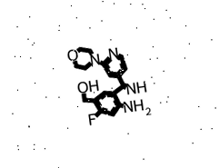 N=C(c1ccnc(N2CCOCC2)c1)c1cc(CO)c(F)cc1N